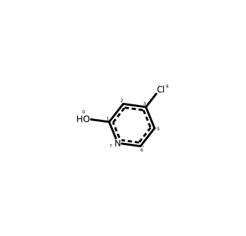 Oc1cc(Cl)c[c]n1